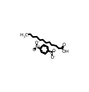 CCCCCCCCCCCC(=O)O.O=[N+]([O-])c1ccc([N+](=O)[O-])cc1